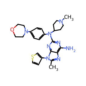 Cc1nc2c(N)nc(N(c3ccc(N4CCOCC4)cc3)C3CCN(C)CC3)nc2n1-c1ccsc1